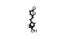 O=C1CCC(CCC2CC3CC2CC3O)O1